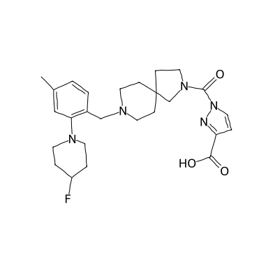 Cc1ccc(CN2CCC3(CC2)CCN(C(=O)n2ccc(C(=O)O)n2)C3)c(N2CCC(F)CC2)c1